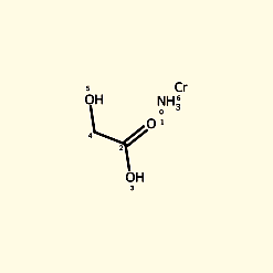 N.O=C(O)CO.[Cr]